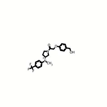 CN(c1ccc(C(F)(F)F)cc1)[C@@H]1CCN(C(=O)COc2ccc(CO)cc2)C1